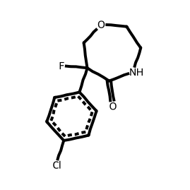 O=C1NCCOCC1(F)c1ccc(Cl)cc1